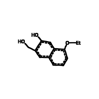 CCOc1cccc2cc(CO)c(O)cc12